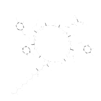 Cc1ccc(CSC[C@@H]2NC(=O)[C@H](CC(=O)O)NC(=O)CSC[C@@H](C(=O)NCC(=O)NCCOCCOCCN)NC(=O)[C@H](Cc3ccccc3)NC(=O)[C@H](CSCc3ccc(C)cc3)NC(=O)[C@H](CC(=O)O)NC(=O)CNC(=O)[C@H](CCCNC(=N)N)NC2=O)cc1